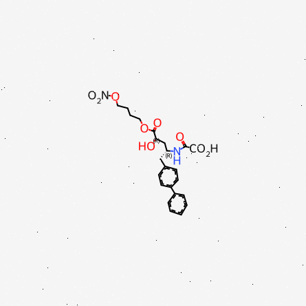 O=C(O)C(=O)N[C@H](Cc1ccc(-c2ccccc2)cc1)C[C@@H](O)C(=O)OCCCCO[N+](=O)[O-]